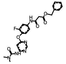 CN(C)C(=O)Nc1cc(Oc2ccc(NC(=O)CC(=O)OCc3ccccc3)cc2F)ncn1